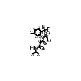 Cc1ccc(C(F)(F)F)c(N2C(=O)CS/C2=N\C(=O)NC(C)C)c1